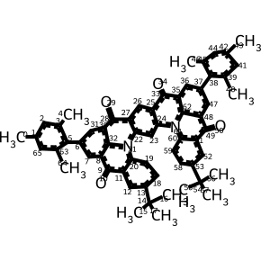 Cc1cc(C)c(-c2cc3c(=O)c4cc(C(C)(C)C)ccc4n4c5cc6c(cc5c(=O)c(c2)c34)c(=O)c2cc(-c3c(C)cc(C)cc3C)cc3c(=O)c4cc(C(C)(C)C)ccc4n6c32)c(C)c1